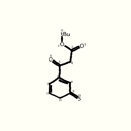 CC(C)(C)OC(=O)CC(=O)C1=CC(=S)CC=C1